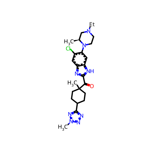 CCN1CCN(c2cc3[nH]c(C(=O)C4(C)CCC(c5nnn(C)n5)CC4)nc3cc2Cl)[C@@H](C)C1